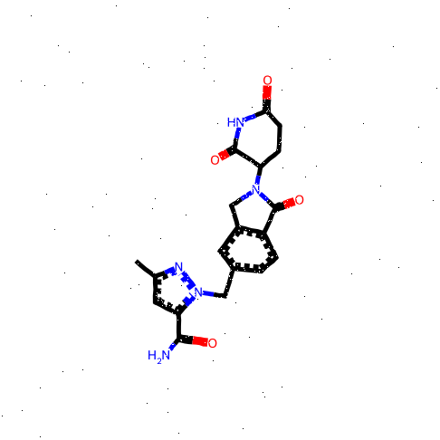 Cc1cc(C(N)=O)n(Cc2ccc3c(c2)CN(C2CCC(=O)NC2=O)C3=O)n1